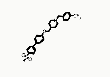 CS(=O)(=O)c1ccc(-c2ccc(OCC3CCN(Cc4ccc(C(F)(F)F)cc4)CC3)cc2)cc1